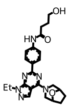 CCn1ncc2c(N3CC4CCC(C3)O4)nc(-c3ccc(NC(=O)CCCO)cc3)nc21